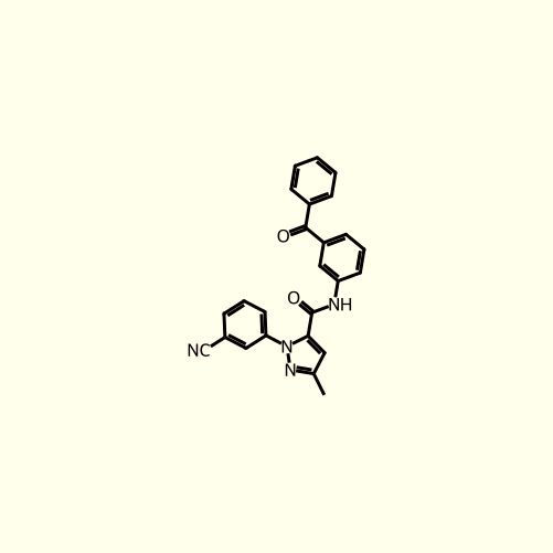 Cc1cc(C(=O)Nc2cccc(C(=O)c3ccccc3)c2)n(-c2cccc(C#N)c2)n1